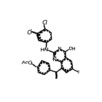 C=C(c1ccc(OC(C)=O)cc1)c1cc(F)cc2c(O)nc(Nc3ccc(Cl)c(Cl)c3)nc12